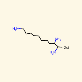 CCCCCCCCC(N)C(N)CCCCCCCCN